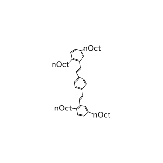 CCCCCCCCc1ccc(CCCCCCCC)c(/C=C/c2ccc(/C=C/c3cc(CCCCCCCC)ccc3CCCCCCCC)cc2)c1